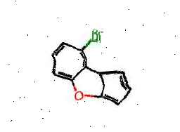 Brc1cccc2c1C1C=CC=C1O2